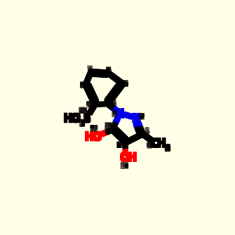 Cc1nn(-c2ccccc2S(=O)(=O)O)c(O)c1O